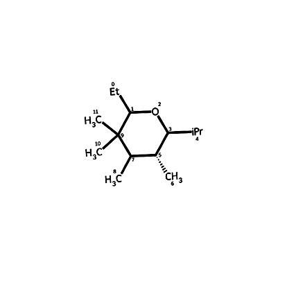 CCC1OC(C(C)C)[C@H](C)C(C)C1(C)C